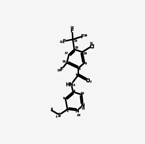 CSc1cc(NC(=O)c2cc(Cl)c(C(F)(F)F)cc2F)cnn1